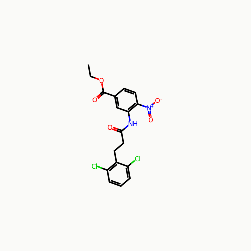 CCOC(=O)c1ccc([N+](=O)[O-])c(NC(=O)CCc2c(Cl)cccc2Cl)c1